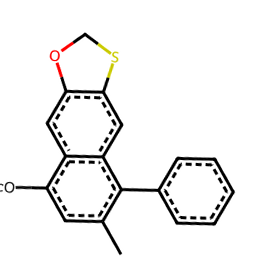 CC(=O)Oc1cc(C)c(-c2ccccc2)c2cc3c(cc12)OCS3